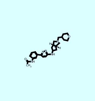 CC(=O)Nc1cccc(-c2ccc(NC3C[C@@H]4CN(CC5CCOCC5)C[C@@H]4C3)nn2)c1